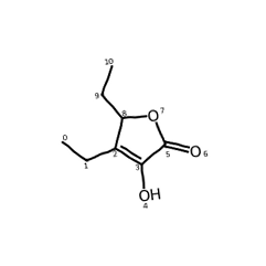 CCC1=C(O)C(=O)OC1CC